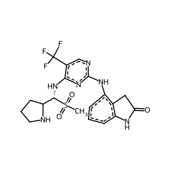 CS(=O)(=O)[C@@H](Nc1nc(Nc2cccc3c2CC(=O)N3)ncc1C(F)(F)F)C1CCCN1